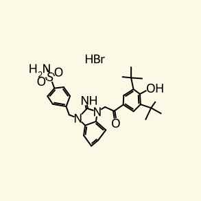 Br.CC(C)(C)c1cc(C(=O)Cn2c(=N)n(Cc3ccc(S(N)(=O)=O)cc3)c3ccccc32)cc(C(C)(C)C)c1O